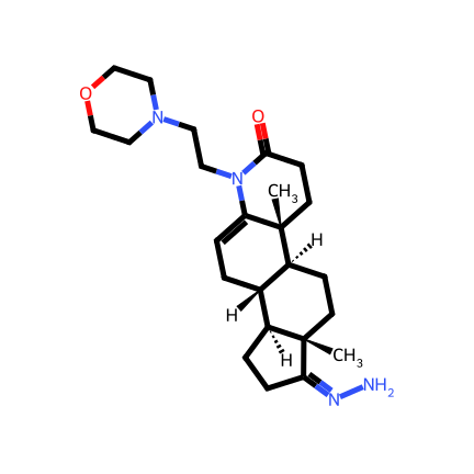 C[C@]12CCC(=O)N(CCN3CCOCC3)C1=CC[C@@H]1[C@@H]2CC[C@]2(C)/C(=N\N)CC[C@@H]12